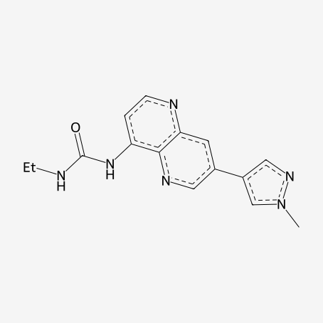 CCNC(=O)Nc1ccnc2cc(-c3cnn(C)c3)cnc12